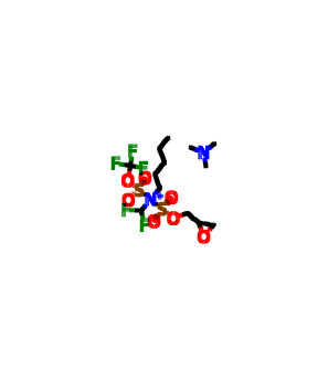 CCCCC[N+](C(F)F)(S(=O)(=O)OCC1CO1)S(=O)(=O)OC(F)(F)F.CN(C)C